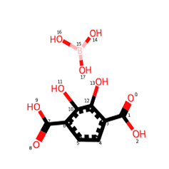 O=C(O)c1ccc(C(=O)O)c(O)c1O.OB(O)O